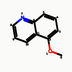 COc1cccc2n[c]ccc12